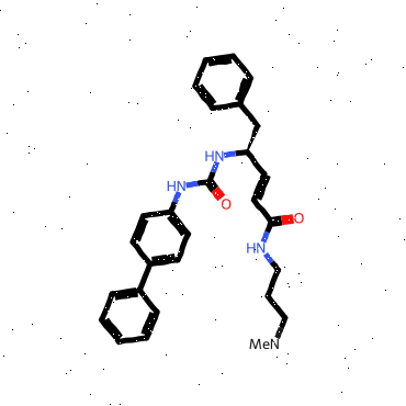 CNCCCNC(=O)/C=C/[C@H](Cc1ccccc1)NC(=O)Nc1ccc(-c2ccccc2)cc1